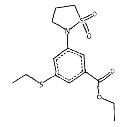 CCOC(=O)c1cc(SCC)cc(N2CCCS2(=O)=O)c1